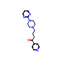 O=C(CCCN1CCN(c2ncccn2)CC1)c1ccncc1